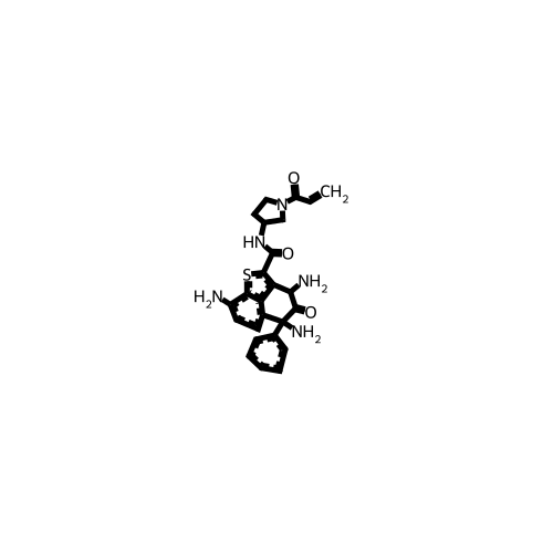 C=CC(=O)N1CCC(NC(=O)c2sc3c(N)ccc4c3c2C(N)C(=O)C4(N)c2ccccc2)C1